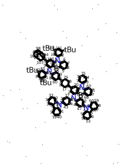 CC(C)(C)c1cc(N2c3ccccc3B3c4cc(C5CCC(c6cc7c8c(c6)N(c6ccc(-n9c%10ccccc%10c%10ccccc%109)cc6)c6ccc(-n9c%10ccccc%10c%10ccccc%109)cc6B8c6ccccc6N7c6ccccc6)CC5)ccc4N(c4cc(C(C)(C)C)cc(C(C)(C)C)c4)c4cc(C56CC7CC(CC(C7)C5)C6)cc2c43)cc(C(C)(C)C)c1